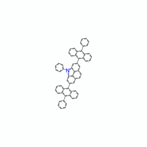 c1ccc(-c2c3ccccc3c(-c3cc4ccc5cc(-c6c7ccccc7c(-c7ccccc7)c7ccccc67)cc6c5c4c(c3)n6-c3ccccc3)c3ccccc23)cc1